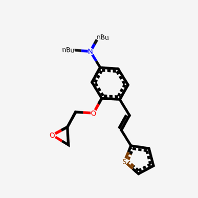 CCCCN(CCCC)c1ccc(C=Cc2cccs2)c(OCC2CO2)c1